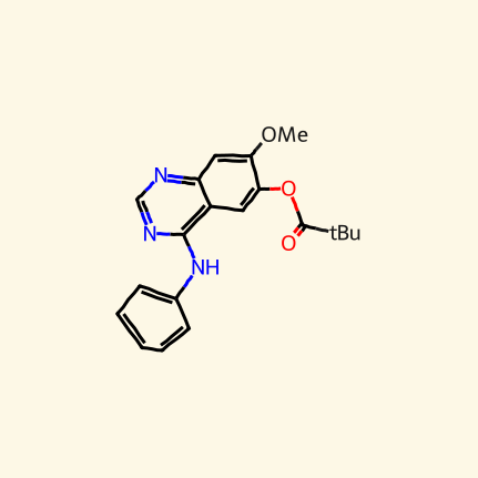 COc1cc2ncnc(Nc3ccccc3)c2cc1OC(=O)C(C)(C)C